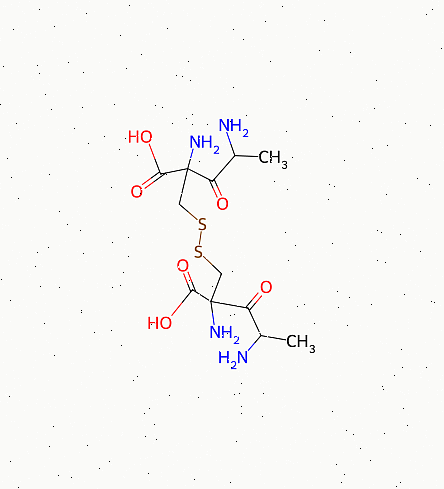 CC(N)C(=O)C(N)(CSSCC(N)(C(=O)O)C(=O)C(C)N)C(=O)O